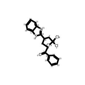 O=C(CCC(CC(Cl)(Cl)Cl)c1nc2ccccc2s1)c1ccccc1